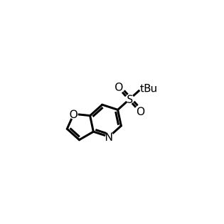 CC(C)(C)S(=O)(=O)c1cnc2ccoc2c1